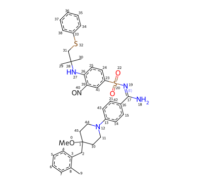 COC1(Cc2ccccc2C)CCN(c2ccc(/C(N)=N\S(=O)(=O)c3ccc(NC(C)(C)CSc4ccccc4)c(N=O)c3)cc2)CC1